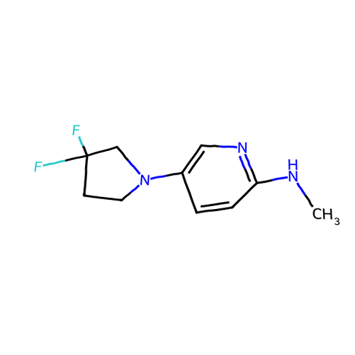 CNc1ccc(N2CCC(F)(F)C2)cn1